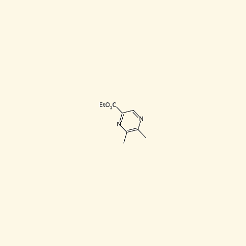 CCOC(=O)c1cnc(C)c(C)n1